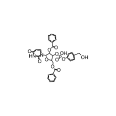 O=C(OCC1OC(n2ccc(=O)[nH]c2=O)C(OC(=O)c2ccccc2)C1OP(=O)(O)Oc1ccc(CO)cc1)c1ccccc1